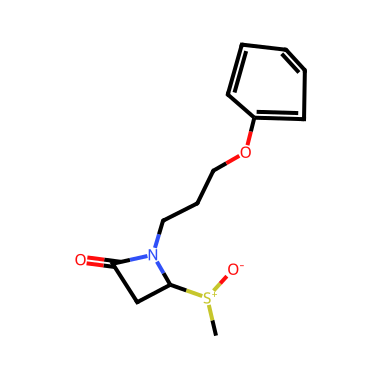 C[S+]([O-])C1CC(=O)N1CCCOc1ccccc1